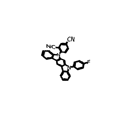 N#Cc1ccc(-n2c3ccccc3c3cc4c5ccccc5n(-c5ccc(F)cc5)c4cc32)c(C#N)c1